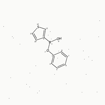 OB(Oc1ccccc1)c1ccsc1